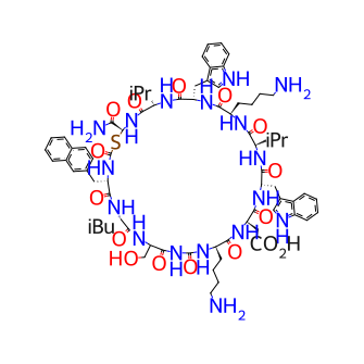 CC[C@H](C)[C@@H]1NC(=O)[C@H](Cc2ccc3ccccc3c2)NC(=O)S[C@@H](C(N)=O)NC(=O)[C@H](C(C)C)NC(=O)[C@H](Cc2c[nH]c3ccccc23)NC(=O)[C@@H](CCCCN)NC(=O)[C@@H](C(C)C)NC(=O)[C@H](Cc2c[nH]c3ccccc23)NC(=O)[C@@H](CC(=O)O)NC(=O)[C@@H](CCCCN)NC(=O)NC(=O)C(CO)NC1=O